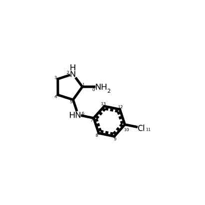 NC1NCCC1Nc1ccc(Cl)cc1